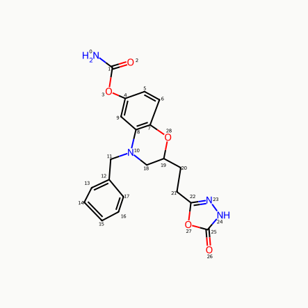 NC(=O)Oc1ccc2c(c1)N(Cc1ccccc1)CC(CCc1n[nH]c(=O)o1)O2